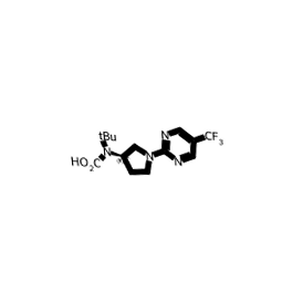 CC(C)(C)N(C(=O)O)[C@@H]1CCN(c2ncc(C(F)(F)F)cn2)C1